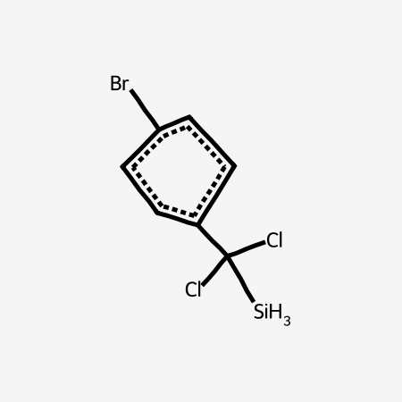 [SiH3]C(Cl)(Cl)c1ccc(Br)cc1